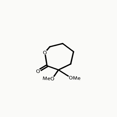 COC1(OC)CCCCOC1=O